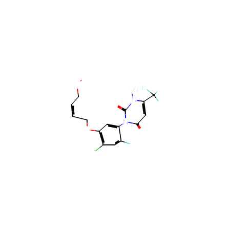 COC/C=C\COc1cc(-n2c(=O)cc(C(F)(F)F)n(C)c2=O)c(F)cc1Cl